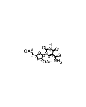 CC(=O)OC[C@@H]1C[C@@H](OC(C)=O)[C@H](n2cc(C(N)=O)c(=O)[nH]c2=O)O1